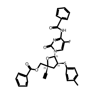 C#C[C@]1(COC(=O)c2ccccc2)C[C@H](Sc2ccc(C)cc2)[C@@H](n2cc(F)c(NC(=O)c3ccccc3)nc2=O)O1